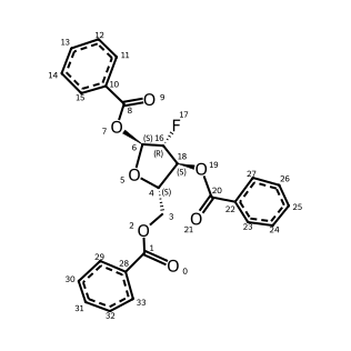 O=C(OC[C@@H]1O[C@@H](OC(=O)c2ccccc2)[C@H](F)[C@H]1OC(=O)c1ccccc1)c1ccccc1